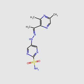 C/C(=N\Nc1cnc(S(N)(=O)=O)nc1)c1ncc(C)nc1C